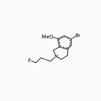 COc1cc(Br)cc2c1CN(CCCF)CC2